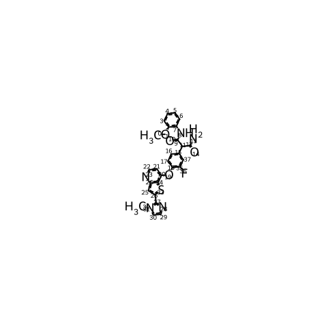 COc1ccccc1NC(=O)C(C(N)=O)c1ccc(Oc2ccnc3cc(-c4nccn4C)sc23)c(F)c1